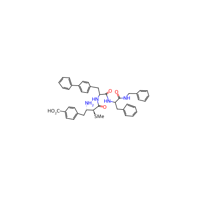 CS[C@H](C(=O)NC(Cc1ccc(-c2ccccc2)cc1)C(=O)NC(Cc1ccccc1)C(=O)NCc1ccccc1)[C@@H](N)Cc1ccc(C(=O)O)cc1